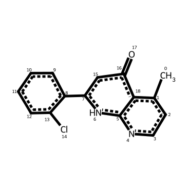 Cc1ccnc2[nH]c(-c3ccccc3Cl)cc(=O)c12